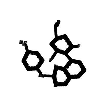 Cc1ccc(Nc2ncc3cccc(-c4c(F)cc(C=O)cc4F)c3n2)cc1